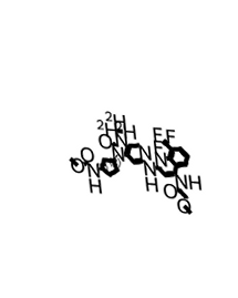 [2H]C([2H])([2H])n1c(=O)n([C@@H]2CC[C@@H](NC(=O)OC)C2)c2cc(Nc3cc(NC(=O)COC)c4cccc(C(F)(F)F)c4n3)ncc21